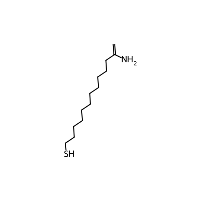 C=C(N)CCCCCCCCCCCS